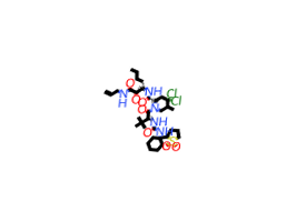 C=CCNC(=O)C(=O)[C@H](CCCC)NC(=O)[C@@H]1CC(Cl)(Cl)C(C)CN1C(=O)[C@@H](NC(=O)NC1(C2CCCS2(=O)=O)CCCCC1)C(C)(C)C